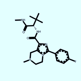 CNC(=O)[C@@H](NC(=O)c1nc(-c2ccc(F)cc2)n2c1CN(C)CC2)C(C)(C)C